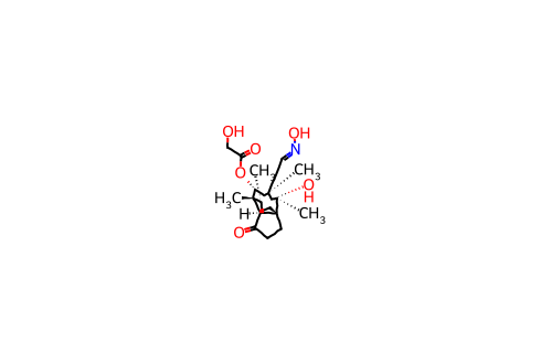 C[C@@H]1CC[C@@]23CCC(=O)[C@H]2[C@]1(C)[C@H](OC(=O)CO)C[C@@](C)(/C=N/O)[C@@H](O)[C@@H]3C